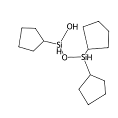 O[SiH](O[SiH](C1CCCC1)C1CCCC1)C1CCCC1